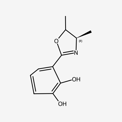 CC1OC(c2cccc(O)c2O)=N[C@@H]1C